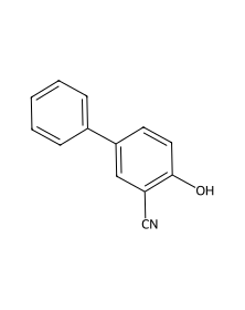 N#Cc1cc(-c2ccccc2)ccc1O